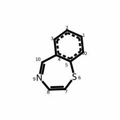 [c]1cccc2c1SC=CN=C2